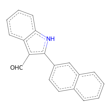 O=Cc1c(-c2ccc3ccccc3c2)[nH]c2ccccc12